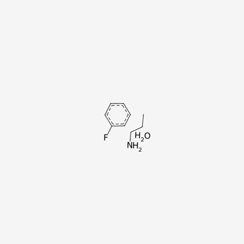 CCCN.Fc1ccccc1.O